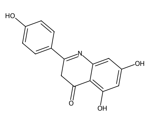 O=C1CC(c2ccc(O)cc2)=Nc2cc(O)cc(O)c21